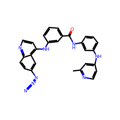 Cc1cc(Nc2cccc(NC(=O)c3cccc(Nc4ccnc5ccc(N=[N+]=[N-])cc45)c3)c2)ccn1